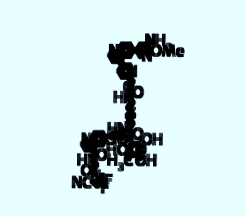 COc1ncc(-c2ccc3nccc(-c4ccc(COC(=O)NCCSSCC(NC(=O)COc5ccc6nccc(C(=O)NCC(=O)N7CC(F)(F)C[C@H]7C#N)c6c5)C(=O)N[C@@H]5[C@@H](O)[C@H](C)C(O)O[C@H]5CO)nc4)c3c2)cc1N